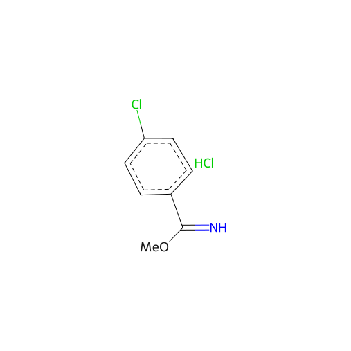 COC(=N)c1ccc(Cl)cc1.Cl